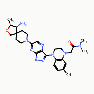 C[C@@H]1OCC2(CCN(c3cnc4c(N5CCN(CC(=O)N(C)C)c6cc(C#N)ccc65)n[nH]c4n3)CC2)[C@@H]1N